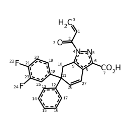 C=CC(=O)n1nc(C(=O)O)c2c1CC(c1ccccc1)(c1ccc(F)c(F)c1)C=C2